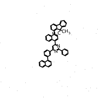 CC1(C)c2ccccc2-c2cccc(-c3ccc(-c4cc(-c5cccc(-c6cccc7ccccc67)c5)nc(-c5ccccc5)n4)c4ccccc34)c21